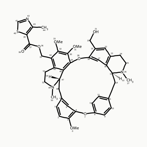 COc1ccc2cc1Oc1ccc(cc1)C[C@H]1c3cc(c(CO)cc3CCN1C)Oc1c(OC)c(OC)c(COC(=O)c3scnc3C)c3c1[C@H](C2)N(C)CC3